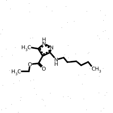 CCCCCCNc1n[nH]c(C)c1C(=O)OCC